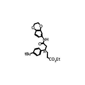 CCOC(=O)CC[C@H](CC(=O)Nc1ccc2c(c1)OCCO2)c1ccc(C(C)(C)C)cc1